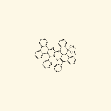 CC1(C)c2ccccc2N(c2nc(-c3ccccn3)c3c4ccccc4c4ccccc4c3n2)c2c1c1ccccc1c1c2sc2ccccc21